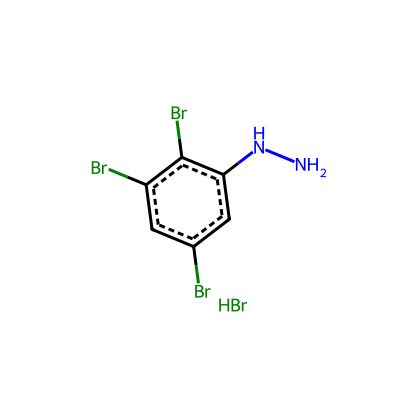 Br.NNc1cc(Br)cc(Br)c1Br